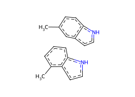 Cc1ccc2[nH]ccc2c1.Cc1cccc2[nH]ccc12